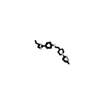 CCc1csc(-c2ccc(OCCC3CCN(c4ccc(C)nn4)CC3)cc2)n1